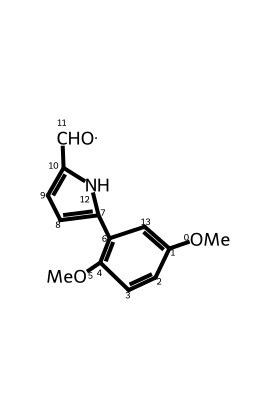 COc1ccc(OC)c(-c2ccc([C]=O)[nH]2)c1